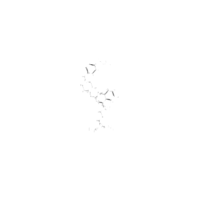 CSc1ccc(CN2CCN(Cc3nc(NCCCN(C)C)c4ccccc4n3)CC2)cc1